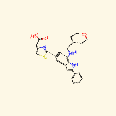 O=C(O)CC1CSC(c2cc(NCC3CCOCC3)c3[nH]c(-c4ccccc4)cc3c2)=N1